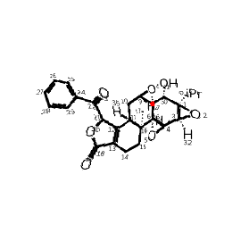 CC(C)[C@]12O[C@H]1[C@@H]1O[C@]13[C@]1(O[C@H]1C[C@H]1C4=C(CC[C@@]13C)C(=O)OC4C(=O)c1ccccc1)[C@@H]2O